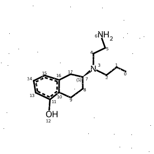 CCCN(CCN)[C@H]1CCc2c(O)cccc2C1